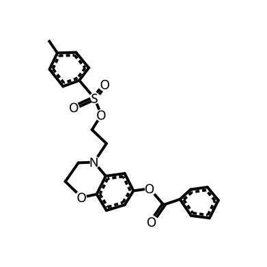 Cc1ccc(S(=O)(=O)OCCN2CCOc3ccc(OC(=O)c4ccccc4)cc32)cc1